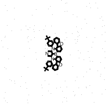 CC(C)(C)c1ccc(N2c3cncc4c3B(c3ccc5oc6ccccc6c5c32)c2ccc3oc5ccccc5c3c2N4c2ccc(C(C)(C)C)cc2)cc1